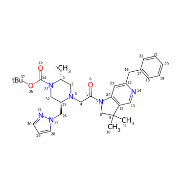 C[C@@H]1CN(CC(=O)N2CC(C)(C)c3cnc(Cc4ccccc4)cc32)[C@@H](Cn2cccn2)CN1C(=O)OC(C)(C)C